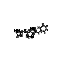 c1ccc(Cn2nnc3c(Sc4ncc[nH]4)ncnc32)cc1